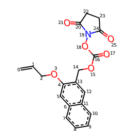 C=CCOc1cc2ccccc2cc1COC(=O)ON1C(=O)CCC1=O